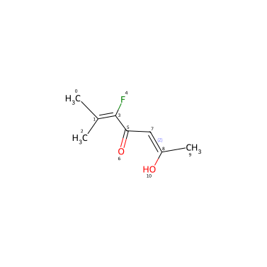 CC(C)=C(F)C(=O)/C=C(/C)O